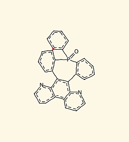 O=P1(c2ccccc2)c2ccccc2-c2c(c3ncccc3c3cccnc23)-c2ccccc21